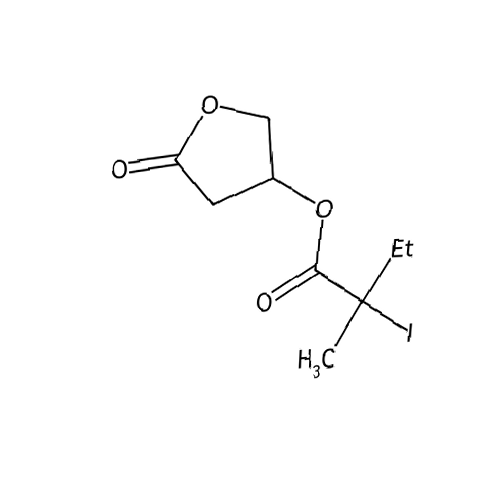 CCC(C)(I)C(=O)OC1COC(=O)C1